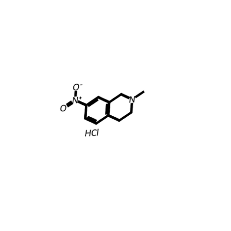 CN1CCc2ccc([N+](=O)[O-])cc2C1.Cl